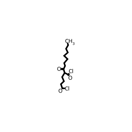 CCCCCCCCC(=O)C(CCCC(=O)Cl)C(=O)Cl